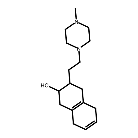 CN1CCN(CCC2CC3=C(CC=CC3)CC2O)CC1